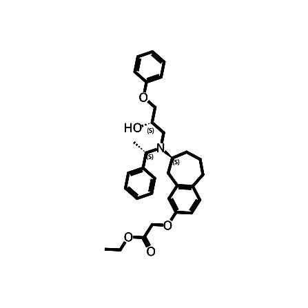 CCOC(=O)COc1ccc2c(c1)C[C@@H](N(C[C@H](O)COc1ccccc1)[C@@H](C)c1ccccc1)CCC2